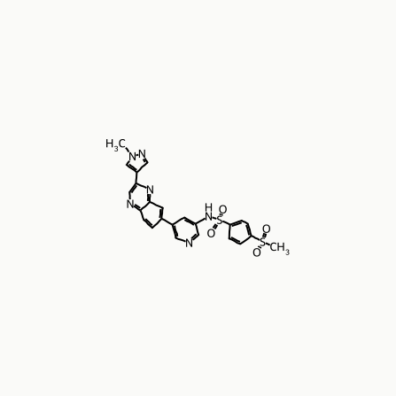 Cn1cc(-c2cnc3ccc(-c4cncc(NS(=O)(=O)c5ccc(S(C)(=O)=O)cc5)c4)cc3n2)cn1